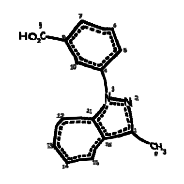 Cc1nn(-c2cccc(C(=O)O)c2)c2c[c]ccc12